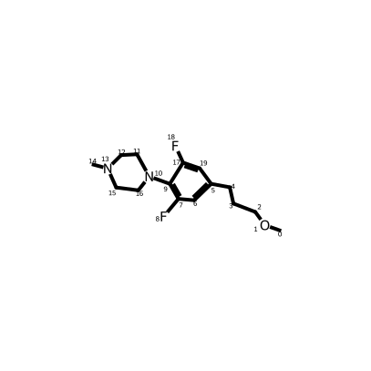 COCCCc1cc(F)c(N2CCN(C)CC2)c(F)c1